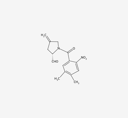 C=C1C[C@@H](C=O)N(C(=O)c2cc(C)c(C)cc2[N+](=O)[O-])C1